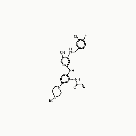 C=CC(=O)Nc1cc(N2CCN(CC)CC2)ccc1Nc1cc(NCc2ccc(F)c(Cl)c2)c(C#N)cn1